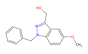 COc1ccc2c(c1)c(CO)nn2Cc1ccccc1